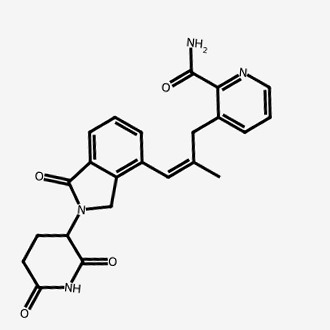 CC(=Cc1cccc2c1CN(C1CCC(=O)NC1=O)C2=O)Cc1cccnc1C(N)=O